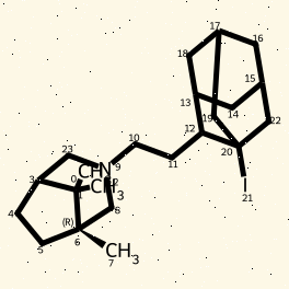 CC1(C)C2CC[C@@]1(C)CN(CCC1C3CC4CC(C3)CC1(I)C4)C2